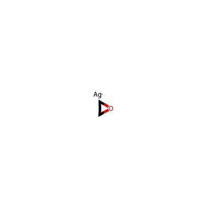 C1CO1.[Ag]